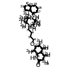 [2H]c1c(OCCCCN2C([2H])([2H])C([2H])([2H])N(c3cccc4sccc34)C([2H])([2H])C2([2H])[2H])c([2H])c2[nH]c(=O)c([2H])c([2H])c2c1[2H]